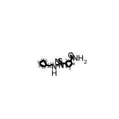 NC(=O)c1cccc(-c2nc(NCCc3ccccc3)ns2)c1